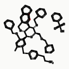 Cc1cc(OCc2ccccc2)c([C@@H]2O[C@H](COCc3ccccc3)[C@@H](OCc3ccccc3)[C@H](OCc3ccccc3)[C@H]2OCc2ccccc2)cc1Cc1ccc(CCN)cc1.O=S(=O)(O)c1ccccc1